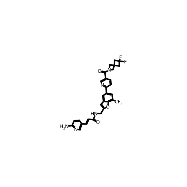 Nc1ccc(C=CC(=O)NCc2cc3cc(-c4ccc(C(=O)N5CC6(C5)CC(F)(F)C6)cn4)cc(C(F)(F)F)c3o2)cn1